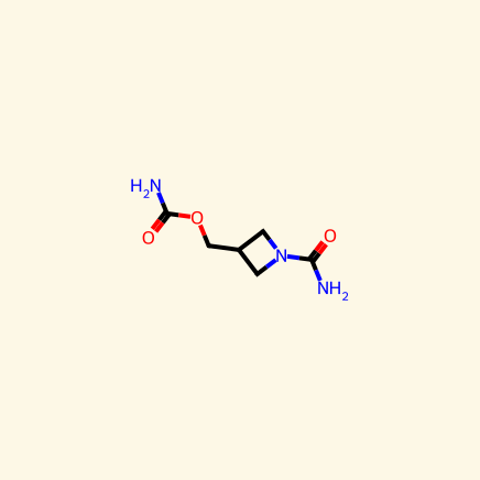 NC(=O)OCC1CN(C(N)=O)C1